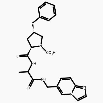 CC(NC(=O)[C@H]1C[C@H](Cc2ccccc2)CN1C(=O)O)C(=O)NCc1ccc2nccn2c1